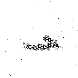 CC(=O)N[C@H](C(=O)N1C[C@H](O)C[C@H]1C(=O)NCc1ccc(-c2scnc2C)cc1OC1CCC(C(=O)N2CCC(c3nccc(Sc4cnc(N5CCC(C)(CN)CC5)cn4)c3Cl)CC2)CC1)C(C)(C)C